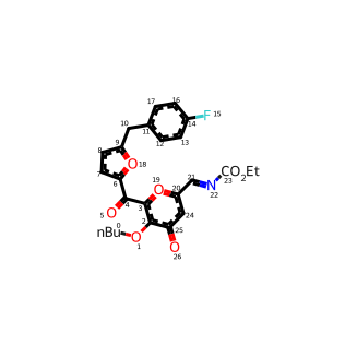 CCCCOc1c(C(=O)c2ccc(Cc3ccc(F)cc3)o2)oc(/C=N/C(=O)OCC)cc1=O